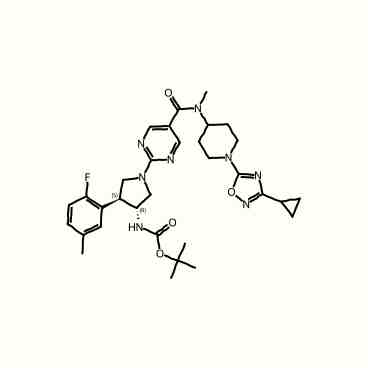 Cc1ccc(F)c([C@H]2CN(c3ncc(C(=O)N(C)C4CCN(c5nc(C6CC6)no5)CC4)cn3)C[C@@H]2NC(=O)OC(C)(C)C)c1